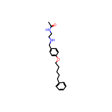 CC(=O)NCCNCc1ccc(OCCCCCc2ccccc2)cc1